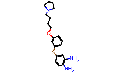 Nc1ccc(Sc2cccc(OCCCCN3CCCC3)c2)cc1N